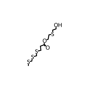 CSCSCSCCC(=O)OCCSCCO